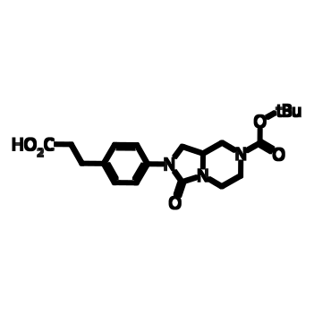 CC(C)(C)OC(=O)N1CCN2C(=O)N(c3ccc(CCC(=O)O)cc3)CC2C1